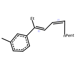 CCCCC/C=C\C=C(/CC)c1cccc(C)c1